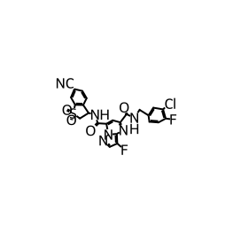 N#Cc1ccc2c(c1)S(=O)(=O)CC2NC(=O)c1cc(C(=O)NCc2ccc(F)c(Cl)c2)nc2c(F)cnn12